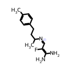 Cc1ccc(CCC(C)/N=C\C(F)=C(N)N)cc1